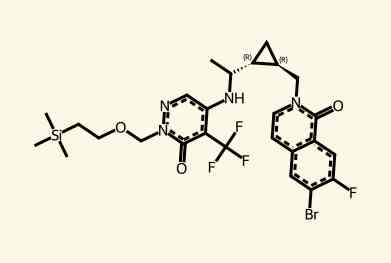 CC(Nc1cnn(COCC[Si](C)(C)C)c(=O)c1C(F)(F)F)[C@@H]1C[C@H]1Cn1ccc2cc(Br)c(F)cc2c1=O